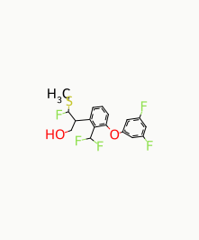 CSC(F)C(CO)c1cccc(Oc2cc(F)cc(F)c2)c1C(F)F